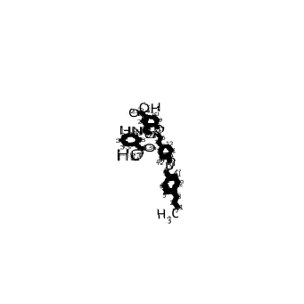 CCCCc1ccc(COc2ccc(CCCOc3ccc(C(=O)O)cc3C(=O)NC3CCCC(C(=O)O)C3)cc2)cc1